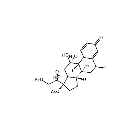 CC(=O)OCC(=O)[C@@]1(OC(C)=O)CC[C@H]2[C@@H]3C[C@H](F)C4=CC(=O)C=C[C@]4(C)[C@@]3(F)C(O)C[C@@]21C